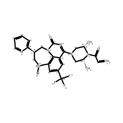 C=CC(=O)N1[C@H](C)CN(c2nc(=O)n3c4c(cc(C(F)(F)F)cc24)[SH](Br)C[C@@H](c2ccccn2)C3)C[C@@H]1C